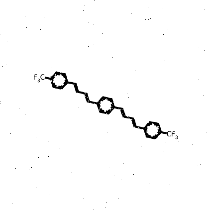 FC(F)(F)c1ccc(/C=C/C=C/c2ccc(/C=C/C=C/c3ccc(C(F)(F)F)cc3)cc2)cc1